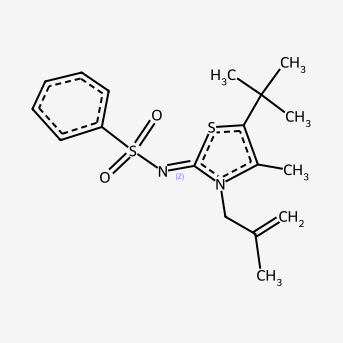 C=C(C)Cn1c(C)c(C(C)(C)C)s/c1=N\S(=O)(=O)c1ccccc1